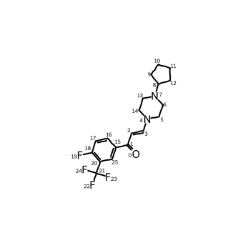 O=C(C=CN1CCN(C2CCCC2)CC1)c1ccc(F)c(C(F)(F)F)c1